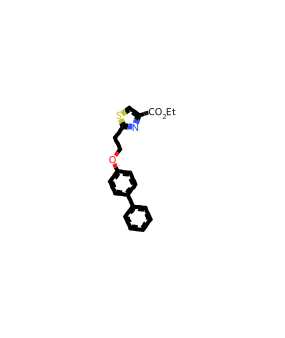 CCOC(=O)c1csc(CCOc2ccc(-c3ccccc3)cc2)n1